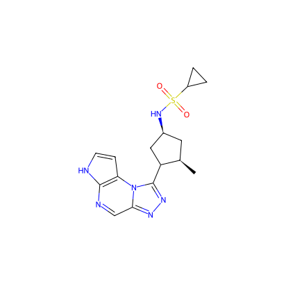 C[C@@H]1C[C@H](NS(=O)(=O)C2CC2)CC1c1nnc2cnc3[nH]ccc3n12